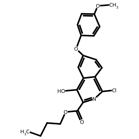 CCCCOC(=O)c1nc(Cl)c2ccc(Oc3ccc(OC)cc3)cc2c1O